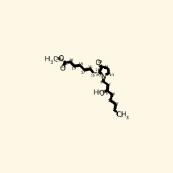 CCCCCC(O)CCN1CCC(=O)[C@H]1CC=CCCCC(=O)OC